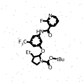 CCC1CCN(C(=O)OC(C)(C)C)C1Oc1cc(NC(=O)c2cccnc2F)cc(C(F)(F)F)c1